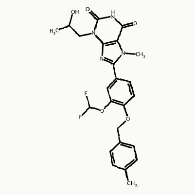 Cc1ccc(COc2ccc(-c3nc4c(c(=O)[nH]c(=O)n4CC(C)O)n3C)cc2OC(F)F)cc1